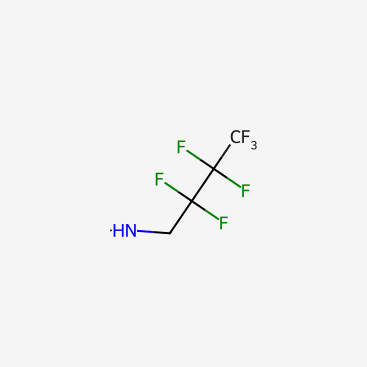 [NH]CC(F)(F)C(F)(F)C(F)(F)F